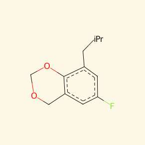 CC(C)Cc1cc(F)cc2c1OCOC2